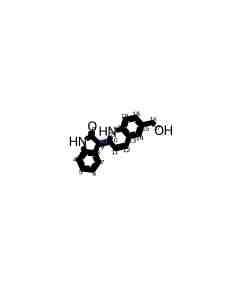 O=C1Nc2ccccc2/C1=C1\C=Cc2cc(CO)ccc2N1